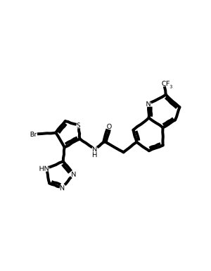 O=C(Cc1ccc2ccc(C(F)(F)F)nc2c1)Nc1scc(Br)c1-c1nnc[nH]1